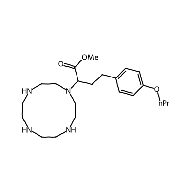 CCCOc1ccc(CCC(C(=O)OC)N2CCNCCNCCNCC2)cc1